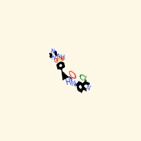 O=C(Nc1ccc2cncc(Cl)c2c1)[C@@H]1C[C@H]1c1ccc(S(=O)(=O)Nc2cnccn2)cc1